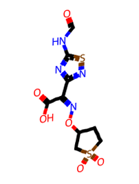 O=CNc1nc(C(=NOC2CCS(=O)(=O)C2)C(=O)O)ns1